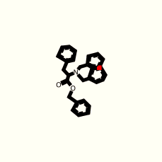 O=C(OCc1ccccc1)C(Cc1ccccc1)N(Cc1ccccc1)Cc1ccccc1